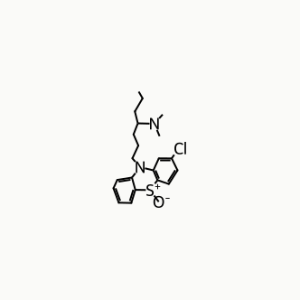 CCCC(CCCN1c2ccccc2[S+]([O-])c2ccc(Cl)cc21)N(C)C